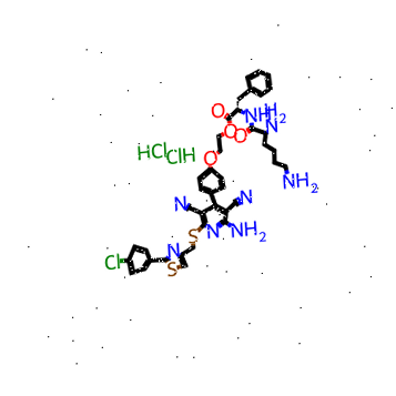 Cl.Cl.N#Cc1c(N)nc(SCc2csc(-c3ccc(Cl)cc3)n2)c(C#N)c1-c1ccc(OCCOC(=O)[C@H](Cc2ccccc2)NC(=O)[C@@H](N)CCCCN)cc1